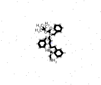 CC(C)(C)OC(=O)N(Cc1ccccc1)[C@H](/C=C/[C@@H](BOCN)Cc1ccccc1)Cc1ccccc1